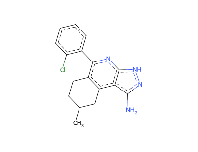 CC1CCc2c(-c3ccccc3Cl)nc3[nH]nc(N)c3c2C1